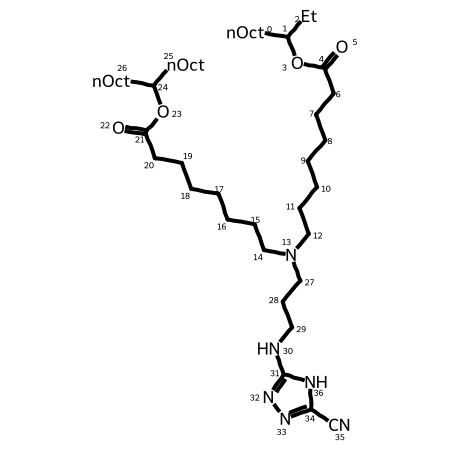 CCCCCCCCC(CC)OC(=O)CCCCCCCN(CCCCCCCC(=O)OC(CCCCCCCC)CCCCCCCC)CCCNc1nnc(C#N)[nH]1